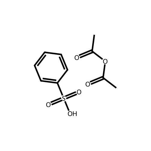 CC(=O)OC(C)=O.O=S(=O)(O)c1ccccc1